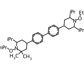 CCCON1C(C(C)C)CC(c2ccc(-c3ccc(C4CC(C(C)C)N(OCC)C(C(C)C)C4)cc3)cc2)CC1(C)C